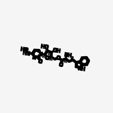 N[C@H](CCc1c[nH]c2ccccc12)C(=O)OC[C@H]1O[C@@H](n2ccc(NO)nc2=O)[C@H](O)[C@@H]1O